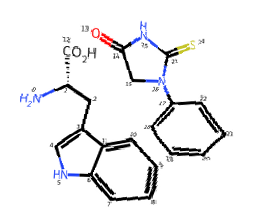 N[C@@H](Cc1c[nH]c2ccccc12)C(=O)O.O=C1CN(c2ccccc2)C(=S)N1